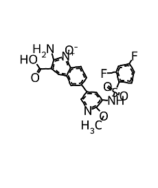 COc1ncc(-c2ccc3c(c2)cc(C(=O)O)c(N)[n+]3[O-])cc1NS(=O)(=O)c1ccc(F)cc1F